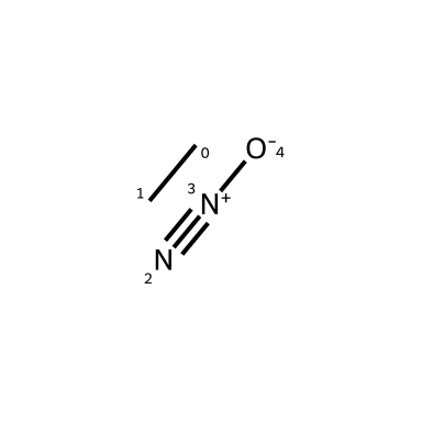 CC.N#[N+][O-]